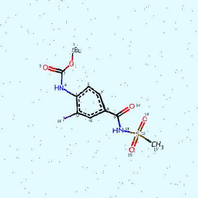 CC(C)(C)OC(=O)Nc1ccc(C(=O)NS(C)(=O)=O)cc1I